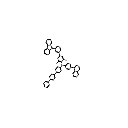 Cc1cc(-c2cccc(-n3c4ccccc4c4ccccc43)c2)cc(C)c1N(c1ccc(-c2ccc(-c3ccccc3)cc2)cc1)c1ccc(-c2cccc3ccccc23)cc1